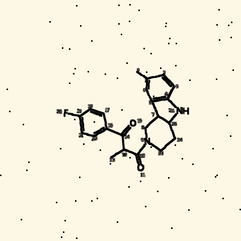 Cc1ccc2c(c1)C1CN(C(=O)C(C)C(=O)c3ccc(F)cc3)CCC1N2